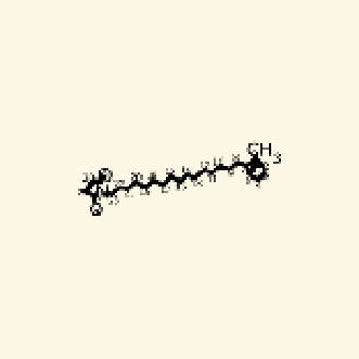 CC1C2C=CC(C2)C1CCCCCCCCCCCCCCCCN1C(=O)C=CC1=O